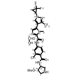 CO[C@H]1CNC[C@@H]1NC(=O)c1ccc(NC(=O)c2ncc(-c3cn(C4CC4(F)F)nc3C(F)(F)F)n2C)cc1Cl.O=CO